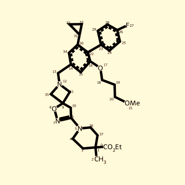 CCOC(=O)C1(C)CCN(C2=NOC3(C2)CN(Cc2cc(OCCCOC)c(-c4ccc(F)cc4)c(C4CC4)c2)C3)CC1